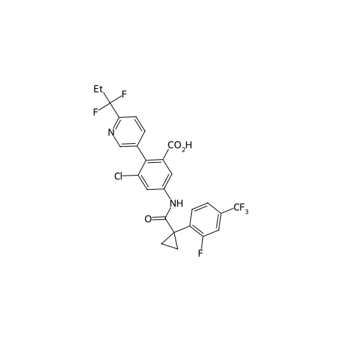 CCC(F)(F)c1ccc(-c2c(Cl)cc(NC(=O)C3(c4ccc(C(F)(F)F)cc4F)CC3)cc2C(=O)O)cn1